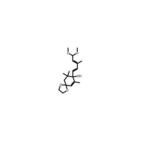 COC(C=C(C)C=CC1(O)C(C)=CC2(CC1(C)C)OCCO2)OC